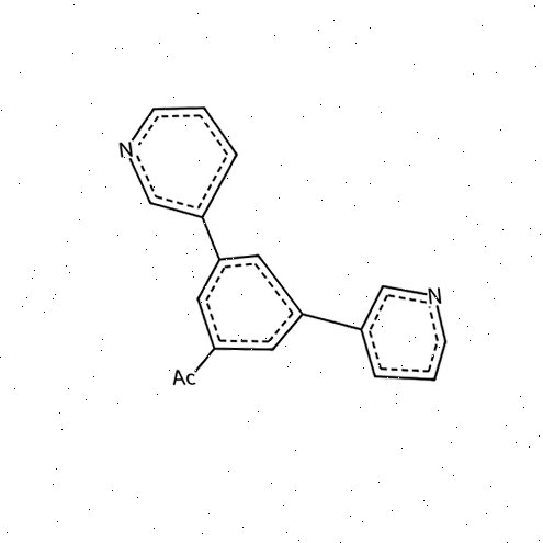 CC(=O)c1cc(-c2cccnc2)cc(-c2cccnc2)c1